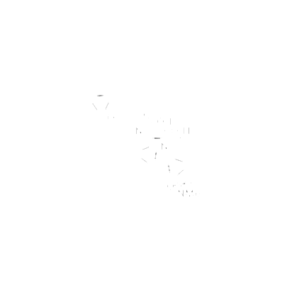 CNS(=O)(=O)c1ccc(Cn2c(C(=O)O)c(C(NCCCOc3ccccc3)C(C)O)c3ccccc32)cc1